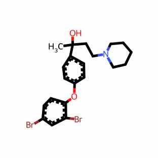 CC(O)(CCN1CCCCC1)c1ccc(Oc2ccc(Br)cc2Br)cc1